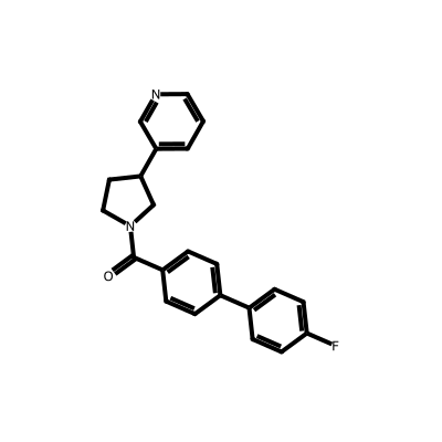 O=C(c1ccc(-c2ccc(F)cc2)cc1)N1CCC(c2cccnc2)C1